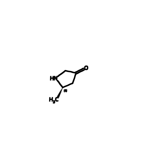 C[C@H]1CC(=O)CN1